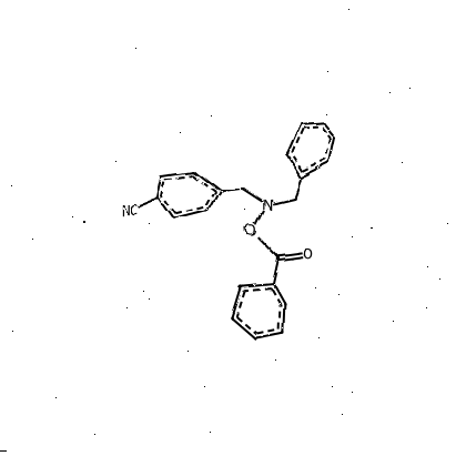 N#Cc1ccc(CN(Cc2ccccc2)OC(=O)c2ccccc2)cc1